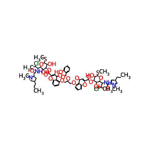 CCCC1CC(C(=O)NC(C(C)Cl)C2OC(SC)C(O)C(OC(=O)c3cc(=O)c4c(OCC(COc5cccc6oc(C(=O)OC7C(O)C(SC)OC(C(NC(=O)C8CC(CCC)CN8C)C(C)Cl)C7O)cc(=O)c56)OC(=O)c5ccccc5O)cccc4o3)C2O)N(C)C1